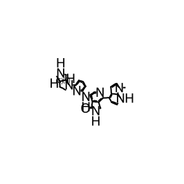 CN1C=CC2=C(c3ncc(Nc4cccc(N5CC[C@H]6CNC[C@H]65)n4)c4c3CNC4=O)C=CNC21